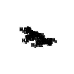 CCc1c(C)cccc1OOP(=O)(OOc1cccc(C)c1CC)Oc1ccc(C(C)(C)c2ccc(OP(=O)(OOc3cccc(C)c3CC)OOc3cccc(C)c3CC)cc2)cc1